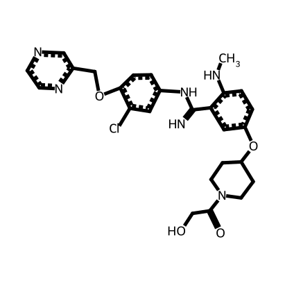 CNc1ccc(OC2CCN(C(=O)CO)CC2)cc1C(=N)Nc1ccc(OCc2cnccn2)c(Cl)c1